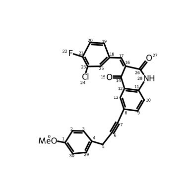 COc1ccc(CC#Cc2ccc3c(c2)C(=O)/C(=C\c2ccc(F)c(Cl)c2)C(=O)N3)cc1